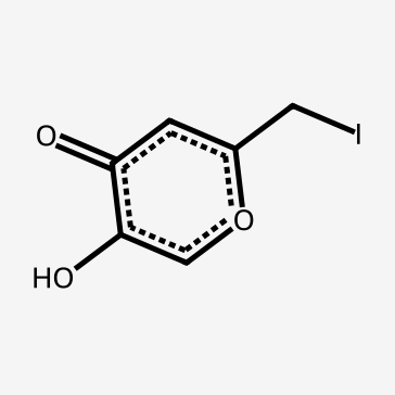 O=c1cc(CI)occ1O